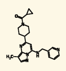 Cc1cnn2c(NCc3cccnc3)cc(C3CCN(C(=O)C4CC4)CC3)nc12